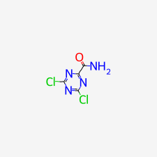 NC(=O)c1nc(Cl)nc(Cl)n1